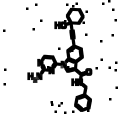 Nc1nccc(-n2cc(C(=O)NCc3ccccc3)c3ccc(C#CC4(O)CCCCC4)cc32)n1